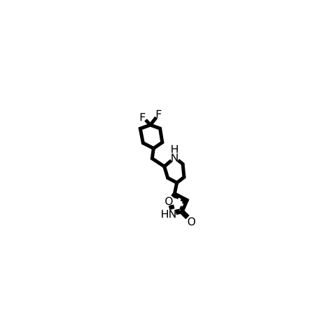 O=c1cc(C2CCNC(CC3CCC(F)(F)CC3)C2)o[nH]1